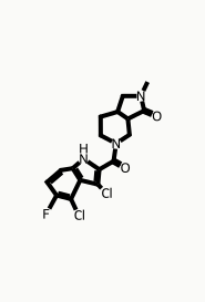 CN1CC2CCN(C(=O)c3[nH]c4ccc(F)c(Cl)c4c3Cl)CC2C1=O